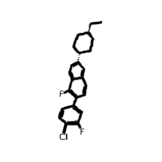 CC[C@H]1CC[C@H](c2ccc3c(F)c(-c4ccc(Cl)c(F)c4)ccc3c2)CC1